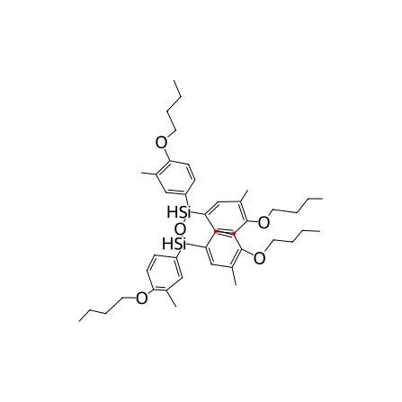 CCCCOc1ccc([SiH](O[SiH](c2ccc(OCCCC)c(C)c2)c2ccc(OCCCC)c(C)c2)c2ccc(OCCCC)c(C)c2)cc1C